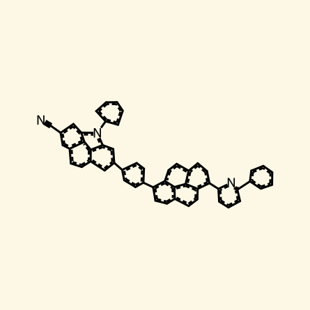 N#Cc1cc2ccc3cc(-c4ccc(-c5ccc6ccc7c(-c8cccc(-c9ccccc9)n8)ccc8ccc5c6c87)cc4)cc4c3c2c(c1)n4-c1ccccc1